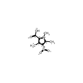 Cc1c([SH](=O)=O)c(C)n(C)c1C(=O)O